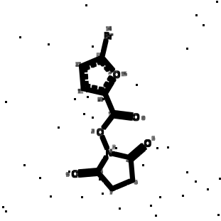 O=C(ON1C(=O)CCC1=O)c1ccc(Br)o1